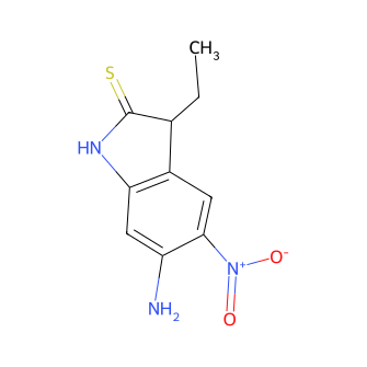 CCC1C(=S)Nc2cc(N)c([N+](=O)[O-])cc21